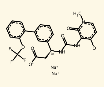 Cn1ccc([O-])c(NC(=O)N[C@@H](CC(=O)[O-])c2cccc(-c3ccccc3OC(F)(F)F)c2)c1=O.[Na+].[Na+]